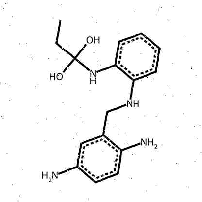 CCC(O)(O)Nc1ccccc1NCc1cc(N)ccc1N